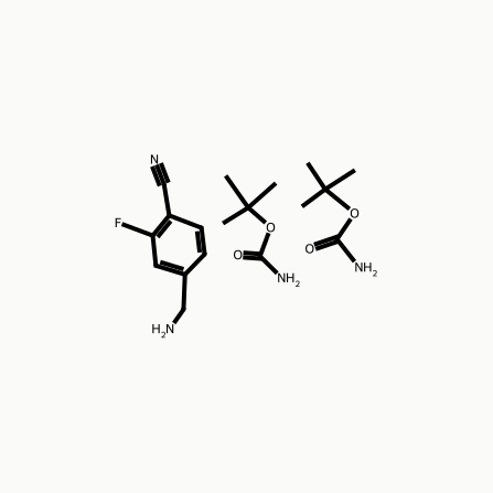 CC(C)(C)OC(N)=O.CC(C)(C)OC(N)=O.N#Cc1ccc(CN)cc1F